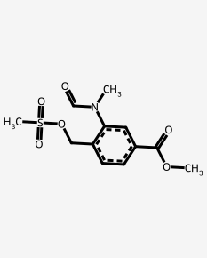 COC(=O)c1ccc(COS(C)(=O)=O)c(N(C)C=O)c1